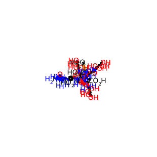 COCCSSC[C@@H](NC(=O)[C@H](CCC(=O)NC[C@H](O)[C@@H](O)C[C@H](O)CO)NC(=O)[C@@H](CCC(=O)O)NC(=O)[C@H](CCC(=O)NC[C@H](O)[C@@H](O)C[C@H](O)CO)NC(=O)[C@@H](CCC(=O)O)NC(=O)[C@H](CCC(=O)NC[C@H](O)[C@@H](O)C[C@H](O)CO)NC(=O)CCCNC(=O)c1ccc(NCC2=NC3=C(NC2)NC(N)NC3=O)cc1)C(=O)O